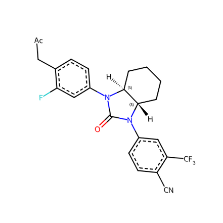 CC(=O)Cc1ccc(N2C(=O)N(c3ccc(C#N)c(C(F)(F)F)c3)[C@H]3CCCC[C@@H]32)cc1F